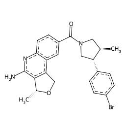 C[C@@H]1CN(C(=O)c2ccc3nc(N)c4c(c3c2)CO[C@@H]4C)C[C@H]1c1ccc(Br)cc1